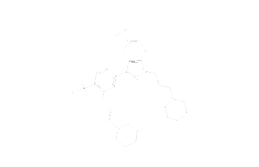 CS(=O)(=O)N1CCc2c(c(-c3ccc(C(F)(F)F)c(SCCN4CCCC(F)C4)c3)nn2C[C@@H](O)CN2CCCCC2)C1